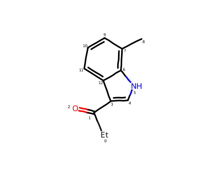 CCC(=O)c1c[nH]c2c(C)cccc12